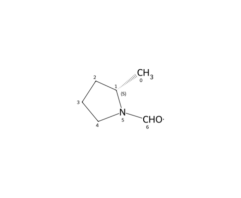 C[C@H]1CCCN1[C]=O